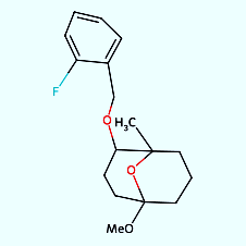 COC12CCCC(C)(O1)C(OCc1ccccc1F)CC2